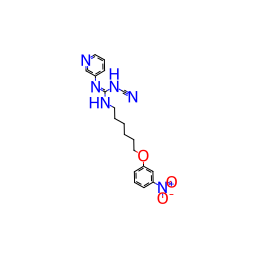 N#CN/C(=N\c1cccnc1)NCCCCCCOc1cccc([N+](=O)[O-])c1